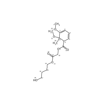 COC1=CC=CC(C(=O)OCC(=O)OCCCCO)C1(C)OC